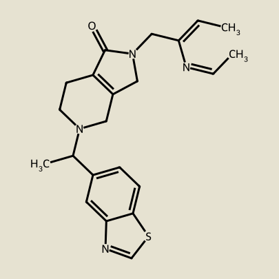 C/C=N\C(=C/C)CN1CC2=C(CCN(C(C)c3ccc4scnc4c3)C2)C1=O